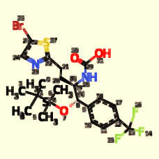 CC(C)(C)[Si](C)(C)O[C@@H](c1ccc(C(F)(F)F)cc1)[C@@H](CCc1ncc(Br)s1)NC(=O)O